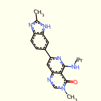 Cc1nc2ccc(-c3cc4ncn(C)c(=O)c4c(NC(C)C)n3)cc2[nH]1